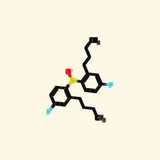 CCCCc1cc(F)ccc1[S+]([O-])c1ccc(F)cc1CCCC